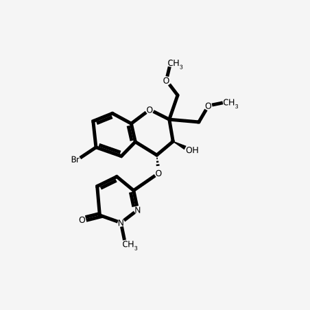 COCC1(COC)Oc2ccc(Br)cc2[C@@H](Oc2ccc(=O)n(C)n2)[C@@H]1O